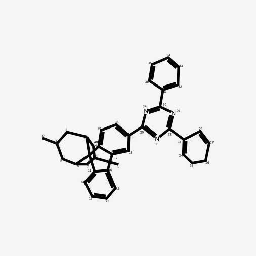 CC1CC2CC(C)CC(C1)C21c2ccccc2-c2cc(-c3nc(C4=CCCC=C4)nc(-c4ccccc4)n3)ccc21